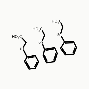 O=C(O)[CH2][Sn][c]1ccccc1.O=C(O)[CH2][Sn][c]1ccccc1.O=C(O)[CH2][Sn][c]1ccccc1